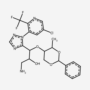 CC1OC(c2ccccc2)OCC1OC(c1ncnn1-c1cc(Cl)cnc1C(F)(F)F)C(O)CN